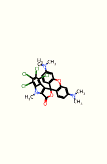 CN(C)c1ccc2c(c1)Oc1cc(N(C)C)ccc1C21OC(=O)c2c1c1c(Cl)c(Cl)c(Cl)c(Cl)c1n2C